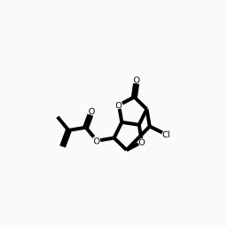 C=C(C)C(=O)OC1C2OC3C1OC(=O)C3C2Cl